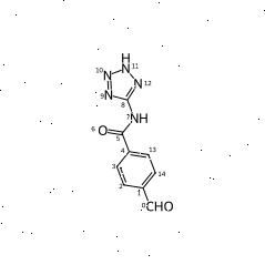 O=Cc1ccc(C(=O)Nc2nn[nH]n2)cc1